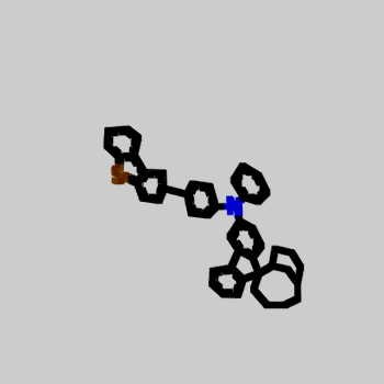 c1ccc(N(c2ccc(-c3ccc4sc5ccccc5c4c3)cc2)c2ccc3c(c2)-c2ccccc2C32CCCCC3CCCC2C3)cc1